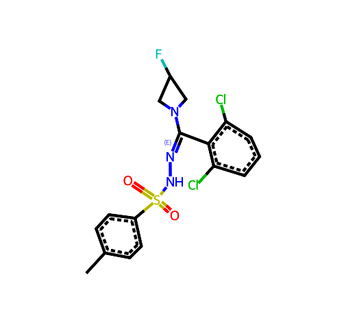 Cc1ccc(S(=O)(=O)N/N=C(\c2c(Cl)cccc2Cl)N2CC(F)C2)cc1